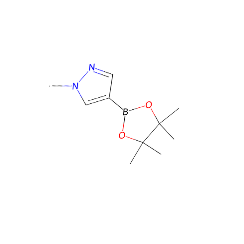 [CH2]n1cc(B2OC(C)(C)C(C)(C)O2)cn1